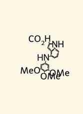 COc1cc(Nc2cccc3[nH]c(C(=O)O)cc23)cc(OC)c1OC